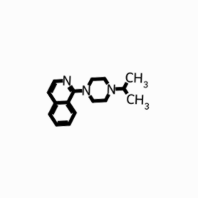 CC(C)N1CCN(c2nccc3ccccc23)CC1